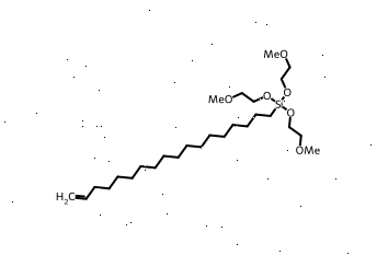 C=CCCCCCCCCCCCCCCCC[Si](OCCOC)(OCCOC)OCCOC